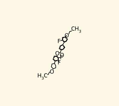 CCCCOc1ccc(-c2ccc(C(=O)Oc3ccc(C4CCC(OCCC)CC4)c(F)c3F)cc2)c(F)c1